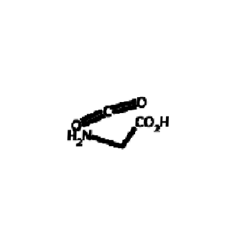 NCC(=O)O.O=C=O